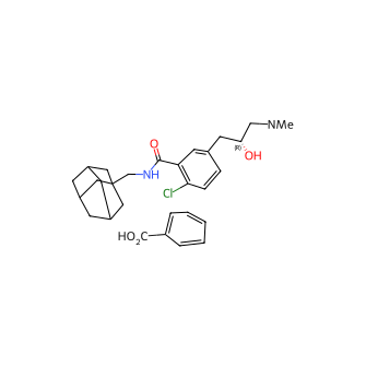 CNC[C@H](O)Cc1ccc(Cl)c(C(=O)NCC23CC4CC(CC(C4)C2)C3)c1.O=C(O)c1ccccc1